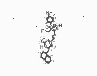 CC(C)CN([C@H](CO)CCCNC(=O)[C@H](Cc1cccc2ccccc12)NC(=O)CC(F)(F)F)S(=O)(=O)c1ccc(N)cc1